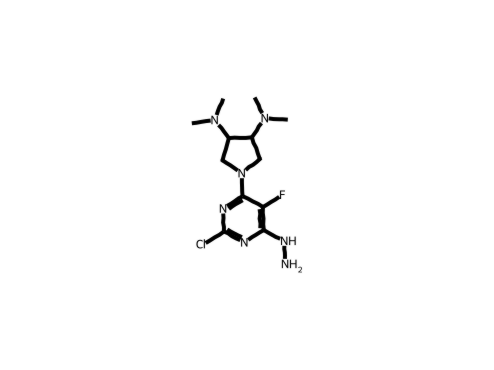 CN(C)C1CN(c2nc(Cl)nc(NN)c2F)CC1N(C)C